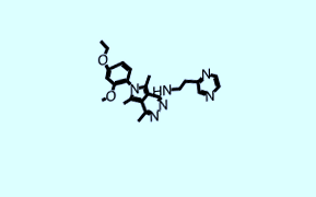 CCOc1ccc(-n2c(C)c3c(C)nnc(NCCc4cnccn4)c3c2C)c(OC)c1